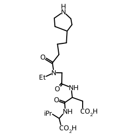 CCN(CC(=O)NC(CC(=O)O)C(=O)NC(C(=O)O)C(C)C)C(=O)CCCC1CCNCC1